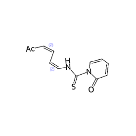 CC(=O)/C=C\C=C/NC(=S)n1ccccc1=O